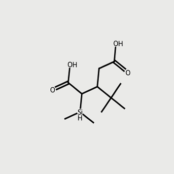 C[SiH](C)C(C(=O)O)C(CC(=O)O)C(C)(C)C